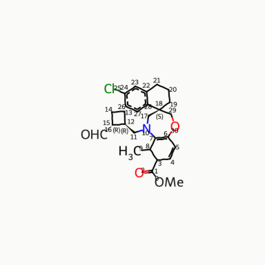 COC(=O)C1C=CC2=C(C1C)N(C[C@@H]1CC[C@H]1C=O)C[C@@]1(CCCc3cc(Cl)ccc31)CO2